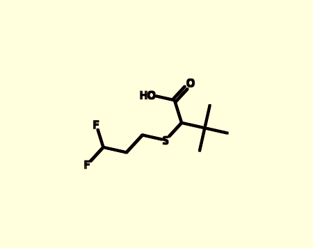 CC(C)(C)C(SCCC(F)F)C(=O)O